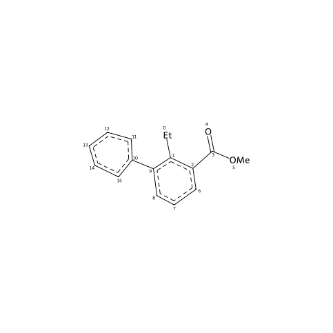 CCc1c(C(=O)OC)cccc1-c1ccccc1